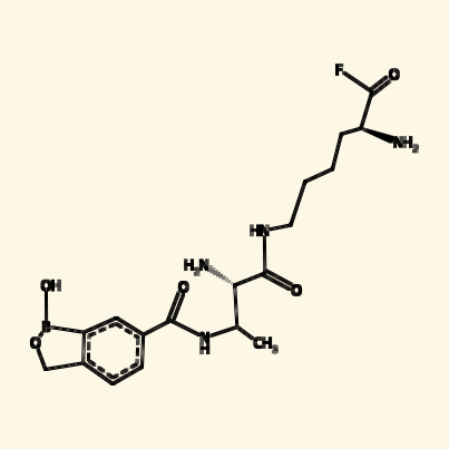 CC(NC(=O)c1ccc2c(c1)B(O)OC2)[C@H](N)C(=O)NCCCC[C@H](N)C(=O)F